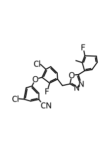 Cc1c(F)cccc1-c1nnc(Cc2ccc(Cl)c(Oc3cc(Cl)cc(C#N)c3)c2F)o1